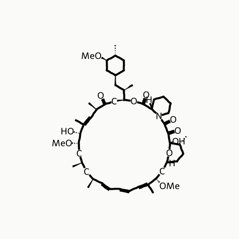 CO[C@H]1C[C@@H]2CC[C@@H](C)[C@@](O)(O2)C(=O)C(=O)N2CCCC[C@H]2C(=O)O[C@H]([C@H](C)C[C@@H]2CC[C@@H](C)[C@H](OC)C2)CC(=O)[C@H](C)/C=C(\C)[C@@H](O)[C@@H](OC)C[C@H](C)C[C@H](C)/C=C/C=C/C=C/1C